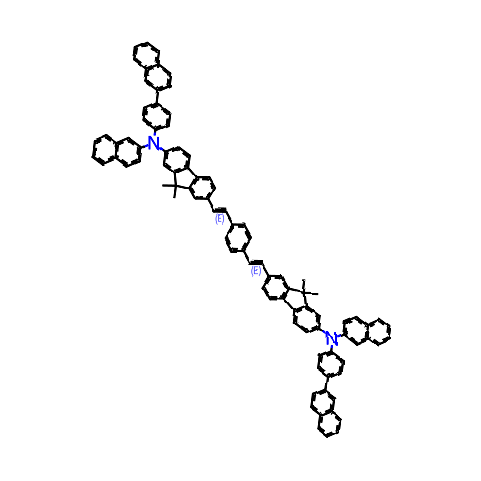 CC1(C)c2cc(/C=C/c3ccc(/C=C/c4ccc5c(c4)C(C)(C)c4cc(N(c6ccc(-c7ccc8ccccc8c7)cc6)c6ccc7ccccc7c6)ccc4-5)cc3)ccc2-c2ccc(N(c3ccc(-c4ccc5ccccc5c4)cc3)c3ccc4ccccc4c3)cc21